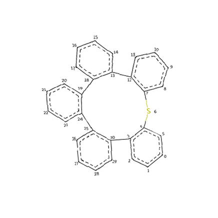 c1ccc2c(c1)Sc1ccccc1-c1ccccc1-c1ccccc1-c1ccccc1-2